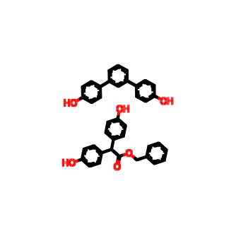 O=C(OCc1ccccc1)C(c1ccc(O)cc1)c1ccc(O)cc1.Oc1ccc(-c2cccc(-c3ccc(O)cc3)c2)cc1